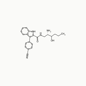 CCCC(O)[C@@H](N)CNC(=O)c1[nH]c2ccccc2c1-c1ccc(C#N)cc1